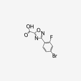 O=C(O)c1nc(-c2ccc(Br)cc2F)no1